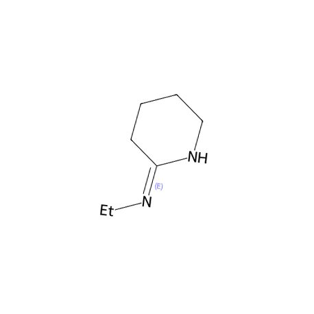 CC/N=C1\CCCCN1